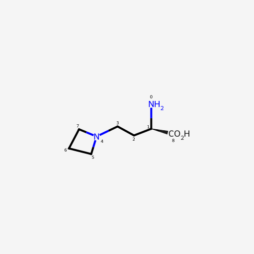 N[C@H](CCN1CCC1)C(=O)O